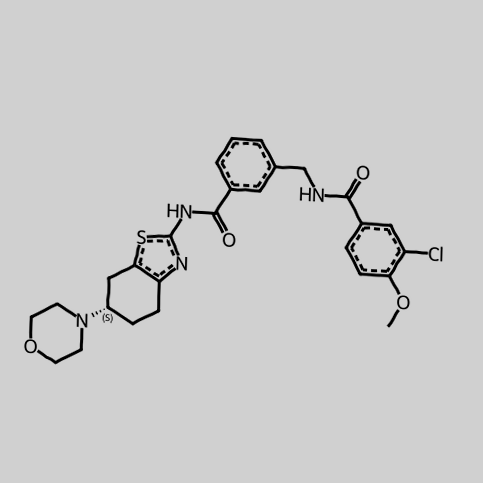 COc1ccc(C(=O)NCc2cccc(C(=O)Nc3nc4c(s3)C[C@@H](N3CCOCC3)CC4)c2)cc1Cl